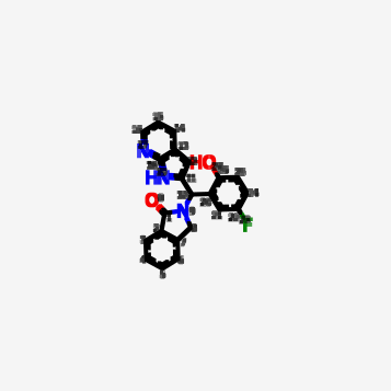 O=C1c2ccccc2CN1C(c1cc2cccnc2[nH]1)c1cc(F)ccc1O